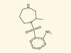 CC1CNCCCN1S(=O)(=O)c1ccccc1[N+](=O)[O-]